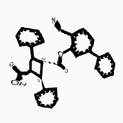 N#Cc1ccc(-c2ccccc2)cc1OC(=O)[C@H]1C(c2ccccc2)C(C(=O)O)[C@@H]1c1ccccc1